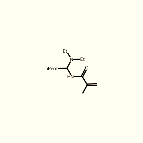 C=C(C)C(=O)NC(CCCCC)N(CC)CC